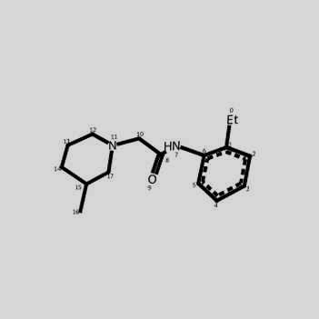 CCc1ccccc1NC(=O)CN1CCCC(C)C1